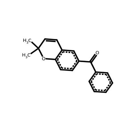 CC1(C)C=Cc2cc(C(=O)c3ccccc3)ccc2O1